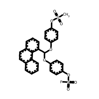 CS(=O)(=O)Oc1ccc(OC(Oc2ccc(OS(=O)(=O)F)cc2)c2cccc3ccc4ccccc4c23)cc1